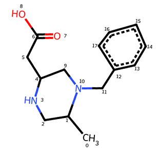 CC1CNC(CC(=O)O)CN1Cc1ccccc1